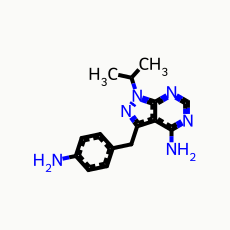 CC(C)n1nc(Cc2ccc(N)cc2)c2c(N)ncnc21